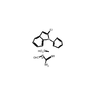 CS(=O)(=O)O.Clc1cc2ccccc2n1-c1ccccc1.N=C(N)NC=O